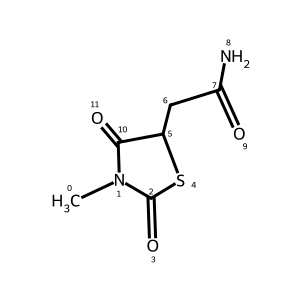 CN1C(=O)SC(CC(N)=O)C1=O